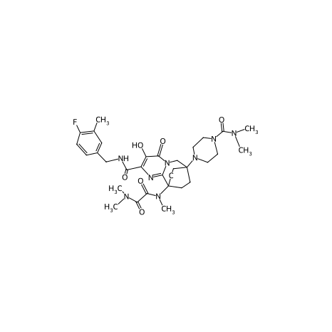 Cc1cc(CNC(=O)c2nc3n(c(=O)c2O)CC2(N4CCN(C(=O)N(C)C)CC4)CCC3(N(C)C(=O)C(=O)N(C)C)CC2)ccc1F